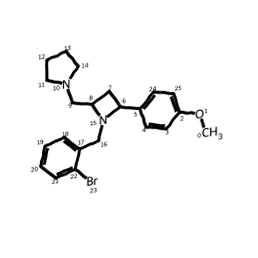 COc1ccc(C2CC(CN3CCCC3)N2Cc2ccccc2Br)cc1